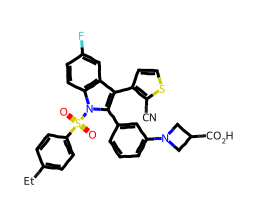 CCc1ccc(S(=O)(=O)n2c(-c3cccc(N4CC(C(=O)O)C4)c3)c(-c3ccsc3C#N)c3cc(F)ccc32)cc1